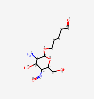 NC1C(OCCCCC=O)OC(CO)C(N=O)C1O